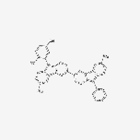 CC(C)(C)c1ccc2c(c1)c1cc(-c3ccc4c(c3)c3cc(C(C)(C)C)ccc3n4-c3cc(C#N)ccc3C#N)ccc1n2-c1ccccc1